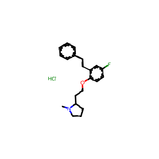 CN1CCCC1CCOc1ccc(F)cc1CCc1ccccc1.Cl